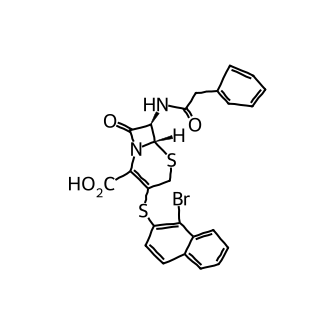 O=C(Cc1ccccc1)N[C@@H]1C(=O)N2C(C(=O)O)=C(Sc3ccc4ccccc4c3Br)CS[C@@H]12